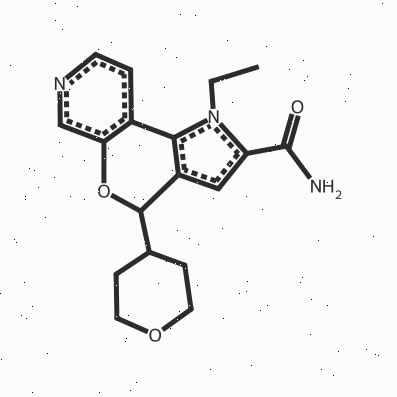 CCn1c(C(N)=O)cc2c1-c1ccncc1OC2C1CCOCC1